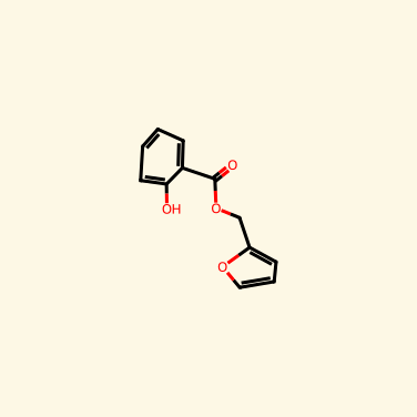 O=C(OCc1ccco1)c1ccccc1O